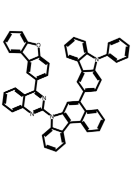 c1ccc(-n2c3ccccc3c3cc(-c4cc5c(c6ccccc46)c4ccccc4n5-c4nc(-c5ccc6oc7ccccc7c6c5)c5ccccc5n4)ccc32)cc1